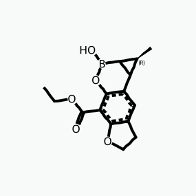 CCOC(=O)c1c2c(cc3c1OB(O)C1C3[C@@H]1C)CCO2